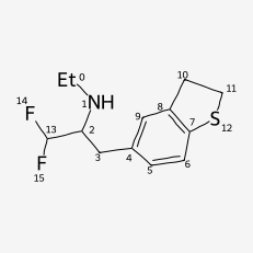 CCNC(Cc1ccc2c(c1)CCS2)C(F)F